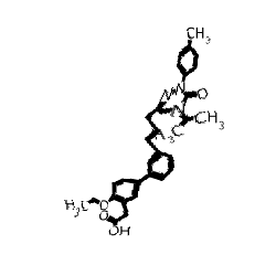 CCOc1ccc(-c2cccc(CCCc3nn(-c4ccc(C)cc4)c(=O)n3C(C)C)c2)cc1CC(=O)O